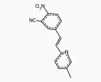 Cc1ccc(C=Cc2ccc([N+](=O)[O-])c(C#N)c2)nc1